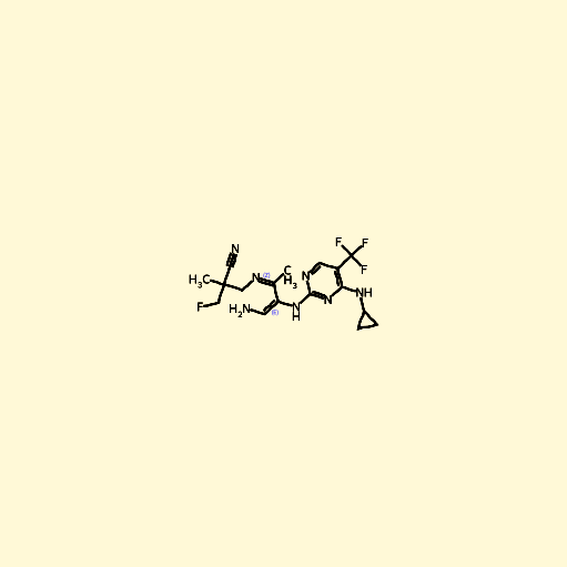 CC(=N/CC(C)(C#N)CF)/C(=C\N)Nc1ncc(C(F)(F)F)c(NC2CC2)n1